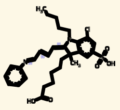 CCCCCN1/C(=C/C=C/C=N/c2ccccc2)C(C)(CCCCCC(=O)O)c2cc(S(=O)(=O)O)cc(Cl)c21